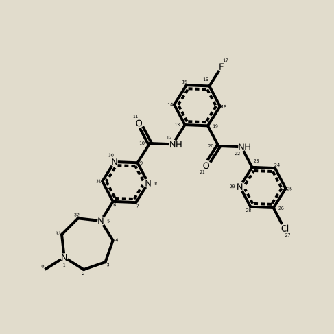 CN1CCCN(c2cnc(C(=O)Nc3ccc(F)cc3C(=O)Nc3ccc(Cl)cn3)nc2)CC1